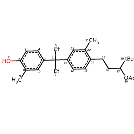 CCC(CC)(c1ccc(O)c(C)c1)c1ccc(CCC(OC(C)=O)C(C)(C)C)c(C)c1